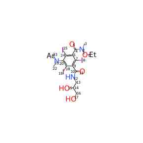 CCON(C)C(=O)c1c(I)c(C(=O)NCC(O)CO)c(I)c(N(C)C(C)=O)c1I